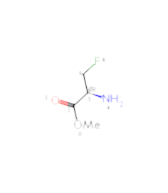 COC(=O)[C@H](N)CF